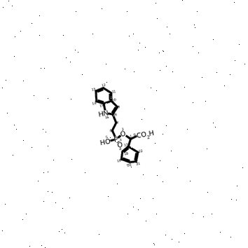 O=C(O)C(OP(=O)(O)CCc1cc2ccccc2[nH]1)c1ccccc1